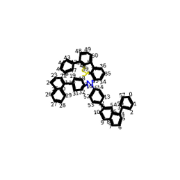 c1ccc(-c2cccc3ccc(-c4ccc(N(c5ccc(-c6cccc7ccccc67)cc5)c5cccc6c5sc5c(-c7ccccc7)cccc56)cc4)cc23)cc1